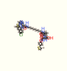 Cc1ccsc1-c1ccc(ONC(=O)[C@@H]2C[C@@H](O)CN2C(=O)[C@@H](NC(=O)CCCCCCCCCCNC(=O)C[C@@H]2N=C(c3ccc(Cl)cc3)c3c(sc(C)c3C)-n3c(C)nnc32)C(C)(C)C)cc1